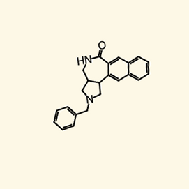 O=C1NCC2CN(Cc3ccccc3)CC2c2cc3ccccc3cc21